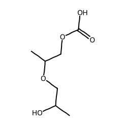 CC(O)COC(C)COC(=O)O